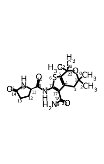 CC1(C)Cc2c(sc(NC(=O)[C@H]3CCC(=O)N3)c2C(N)=O)C(C)(C)O1